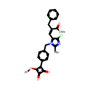 CCCCc1nc(Cl)c(/C=C(/Cc2ccccc2)C(=O)OC)n1Cc1ccc(-c2c(OC(C)C)c(=O)c2=O)cc1